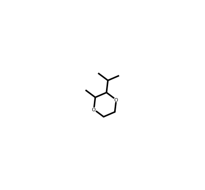 CC(C)C1OCCOC1C